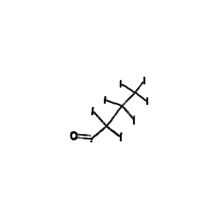 O=[C]C(I)(I)C(I)(I)C(I)(I)I